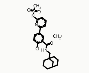 CS(=O)(=O)Nc1cccc(-c2ccc(Cl)c(C(=O)NCC34CCCC(CCC3)C4)c2)n1.[CH2]